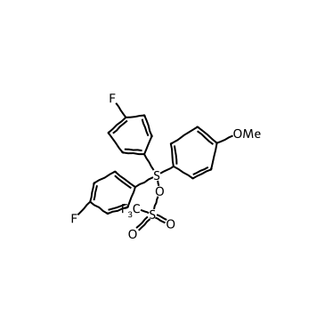 COc1ccc(S(OS(=O)(=O)C(F)(F)F)(c2ccc(F)cc2)c2ccc(F)cc2)cc1